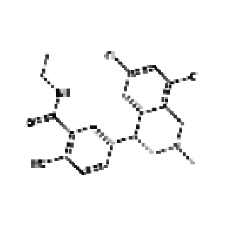 CCNC(=O)c1cc(C2CN(C)Cc3c(Cl)cc(Cl)cc32)ccc1O